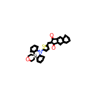 O=C1C(=Cc2ccc(N3c4ccccc4[Si]4(CCOCC4)c4ccccc43)s2)C(=O)c2cc3ccccc3cc21